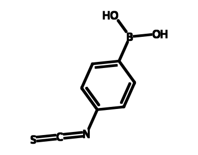 OB(O)c1ccc(N=C=S)cc1